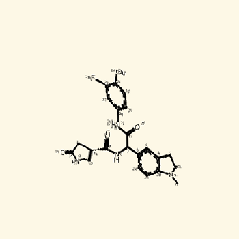 CN1CCc2cc(C(NC(=O)[C@H]3CNC(=O)C3)C(=O)Nc3ccc(C(C)(C)C)c(F)c3)ccc21